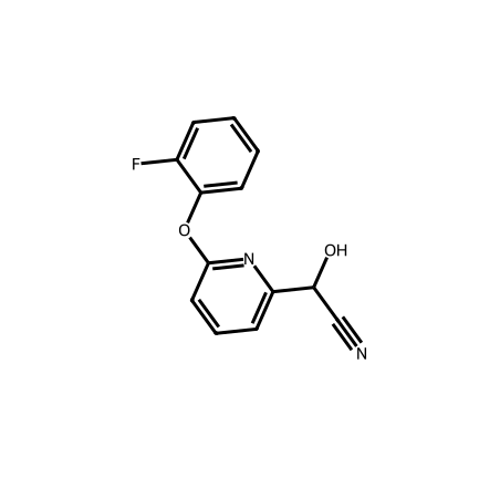 N#CC(O)c1cccc(Oc2ccccc2F)n1